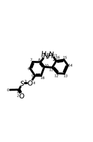 CC(=O)SOc1ccc(N)c(-c2ccccc2N)c1